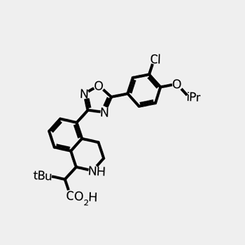 CC(C)Oc1ccc(-c2nc(-c3cccc4c3CCNC4C(C(=O)O)C(C)(C)C)no2)cc1Cl